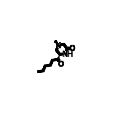 CCCCCC(=O)[C@@H]1CN(C)CC(=O)N1